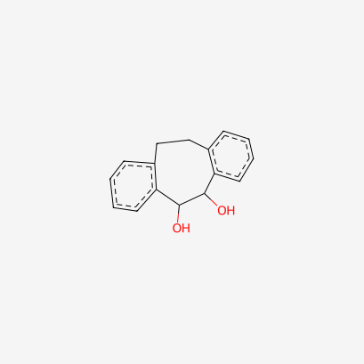 OC1c2ccccc2CCc2ccccc2C1O